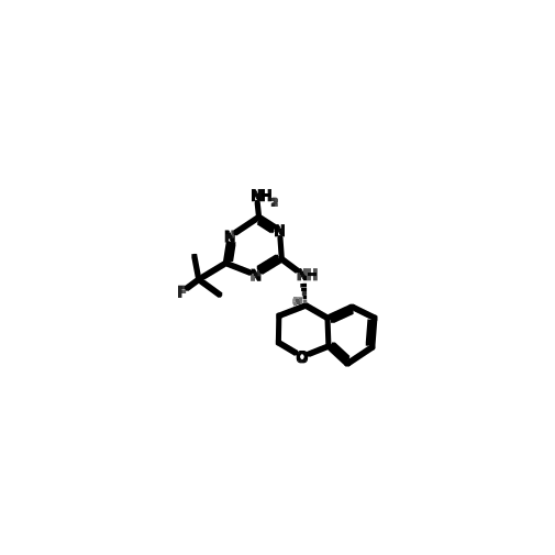 CC(C)(F)c1nc(N)nc(N[C@H]2CCOc3ccccc32)n1